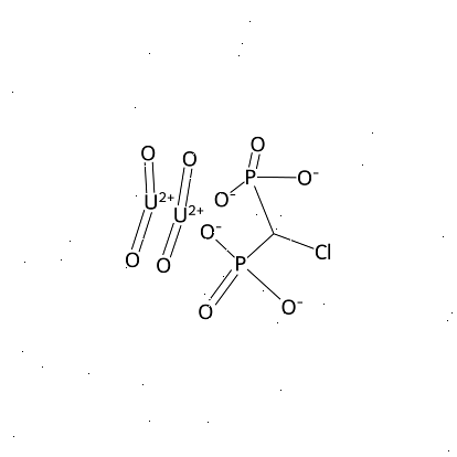 O=P([O-])([O-])C(Cl)P(=O)([O-])[O-].[O]=[U+2]=[O].[O]=[U+2]=[O]